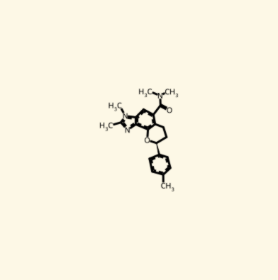 Cc1ccc([C@@H]2CCc3c(C(=O)N(C)C)cc4c(nc(C)n4C)c3O2)cc1